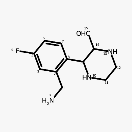 NCc1cc(F)ccc1C1NCCNC1C=O